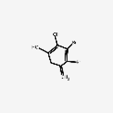 C=C1CC(O)=C(O)C(Br)=C1Br